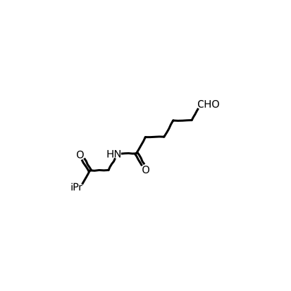 CC(C)C(=O)CNC(=O)CCCCC=O